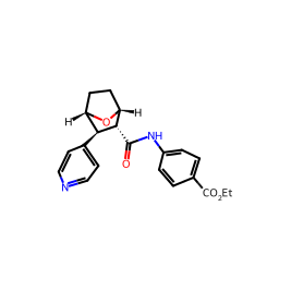 CCOC(=O)c1ccc(NC(=O)[C@@H]2[C@@H](c3ccncc3)[C@@H]3CC[C@H]2O3)cc1